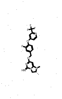 C[C@@H]1Cn2c(cc(OCc3ccc(Oc4ccnc(C(F)(F)F)c4)c(F)c3)nc2=N)N1C